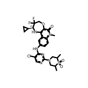 CC1CN(c2ncc(Cl)c(Nc3ccc4c(c3)c3c(c(=O)n4C)OCC(F)(F)[C@H](C4CC4)N3)n2)CC(C)S1(=O)=O